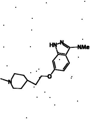 CNc1n[nH]c2cc(OCCC3CCN(C)CC3)ccc12